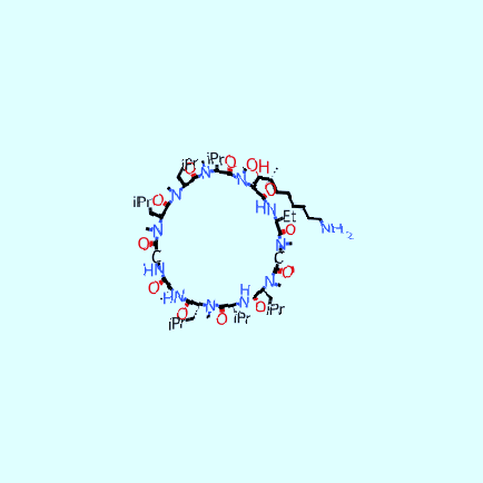 CCC1NC(=O)C([C@H](O)[C@H](C)CCCCCCN)N(C)C(=O)C(C(C)C)N(C)C(=O)C(CC(C)C)N(C)C(=O)C(CC(C)C)N(C)C(=O)CNC(=O)[C@@H](C)NC(=O)[C@@H](CC(C)C)N(C)C(=O)[C@@H](C(C)C)NC(=O)[C@H](CC(C)C)N(C)C(=O)CN(C)C1=O